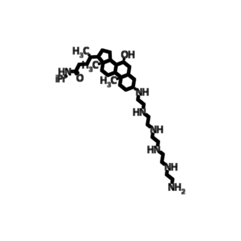 CC(C)NC(=O)CC[C@@H](C)C1CCC2C3C(CC[C@@]21C)[C@@]1(C)CC[C@H](NCCNCCNCCNCCNCCN)CC1C[C@@H]3O